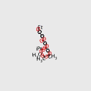 CCOc1ccc(-c2ccc(OC(=O)c3ccc(OC(=O)c4ccc(OC(C)COC(C)COC(C)COC(=O)C(C)C)cc4)cc3)cc2)cc1